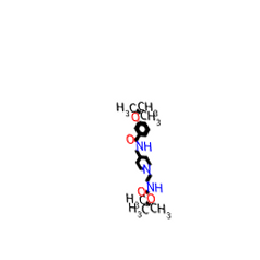 CC(C)(C)OC(=O)NCCN1CCC(CNC(=O)c2cccc(OC(C)(C)C)c2)CC1